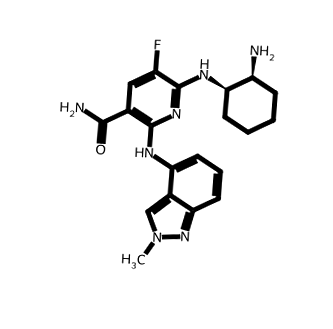 Cn1cc2c(Nc3nc(N[C@@H]4CCCC[C@@H]4N)c(F)cc3C(N)=O)cccc2n1